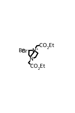 CCOC(=O)C[N+]12CC[N+](CC(=O)OCC)(CC1)CC2.[Br-].[Br-]